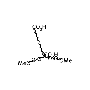 COCCOCCOCCC(CCCCCCCCCCCCCCCC(=O)O)(CCOCCOCCOC)C(=O)O